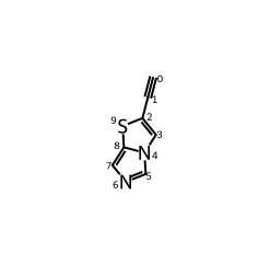 C#Cc1cn2cncc2s1